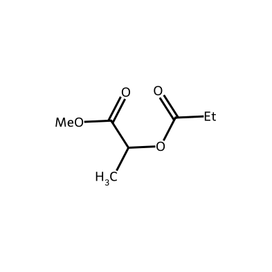 [CH2]CC(=O)OC(C)C(=O)OC